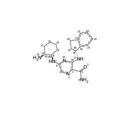 NC(=O)c1ncc(N[C@@H]2CCCC[C@@H]2N)nc1N[C@@H]1CCc2ccccc21